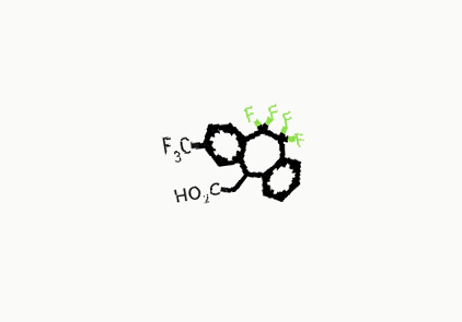 O=C(O)CC1c2ccccc2C(F)(F)C(F)(F)c2ccc(C(F)(F)F)cc21